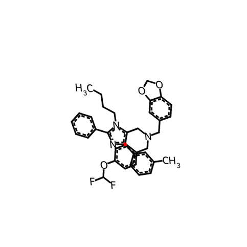 CCCCn1c(-c2ccccc2)nc(-c2cccc(C)c2)c1CN(Cc1ccc(OC(F)F)cc1)Cc1ccc2c(c1)OCO2